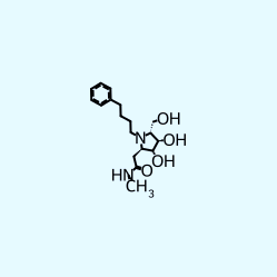 CNC(=O)C[C@@H]1[C@H](O)[C@H](O)[C@@H](CO)N1CCCCc1ccccc1